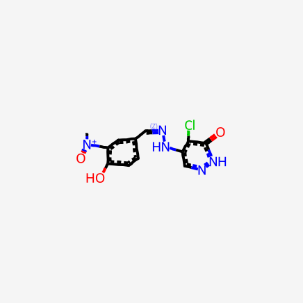 C[N+](=O)c1cc(/C=N\Nc2cn[nH]c(=O)c2Cl)ccc1O